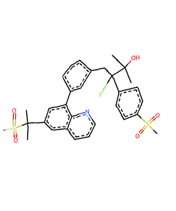 CC(C)(O)C(F)(Cc1cccc(-c2cc(C(C)(C)S(C)(=O)=O)cc3cccnc23)c1)c1ccc(S(C)(=O)=O)cc1